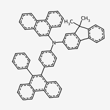 CC1(C)c2ccccc2-c2ccc(N(c3ccc(-c4c(-c5ccccc5)c5ccccc5c5ccccc45)cc3)c3cc4ccccc4c4ccccc34)cc21